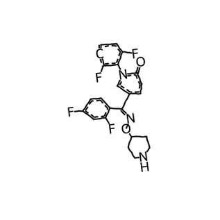 O=c1ccc(C(=NOC2CCNCC2)c2ccc(F)cc2F)cn1-c1c(F)cccc1F